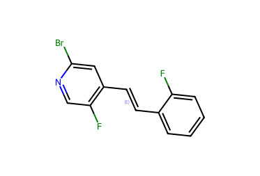 Fc1ccccc1/C=C/c1cc(Br)ncc1F